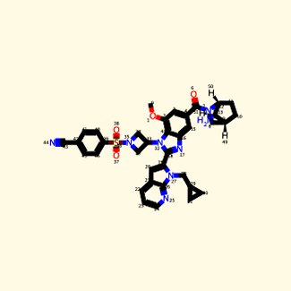 COc1cc(C(=O)N2C[C@H]3CC[C@@H]2[C@@H]3N)cc2nc(-c3cc4cccnc4n3CC3CC3)n(C3CN(S(=O)(=O)c4ccc(C#N)cc4)C3)c12